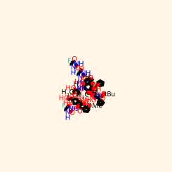 CC(=O)O[C@@]12CO[C@@H]1C[C@H](O)[C@@]1(C)C(=O)[C@H](O)C3=C(C)[C@@H](OC(=O)C(O)[C@@H](NC(=O)OC(C)(C)C)c4ccccc4)C[C@@](O)([C@@H](OC(=O)c4ccccc4)[C@H]21)C3(C)C.COc1cccc2c1C(=O)c1c(O)c3c(c(O)c1C2=O)C[C@@](O)(C(=O)CO)C[C@@H]3O[C@H]1C[C@H](N)[C@H](O)[C@H](C)O1.O=c1[nH]cc(F)c(=O)[nH]1.O=c1[nH]cc(F)c(=O)[nH]1.O=c1[nH]cc(F)c(=O)[nH]1